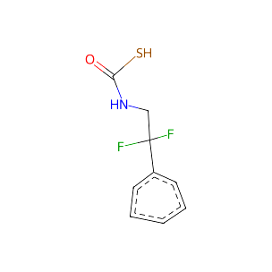 O=C(S)NCC(F)(F)c1ccccc1